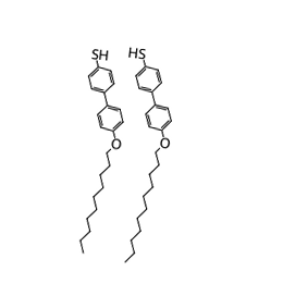 CCCCCCCCCCCOc1ccc(-c2ccc(S)cc2)cc1.CCCCCCCCCCOc1ccc(-c2ccc(S)cc2)cc1